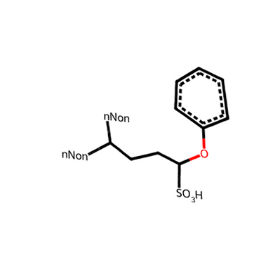 CCCCCCCCCC(CCCCCCCCC)CCC(Oc1ccccc1)S(=O)(=O)O